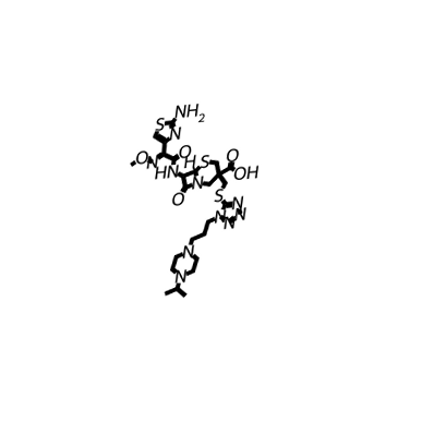 CON=C(C(=O)NC1C(=O)N2CC(CSc3nnnn3CCCN3CCN(C(C)C)CC3)(C(=O)O)CS[C@H]12)c1csc(N)n1